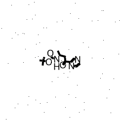 CC(CC(=O)c1cnccn1)NC(=O)OC(C)(C)C